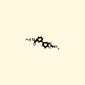 COC(=O)c1cccc(-c2ccc3nc(N)sc3c2)c1